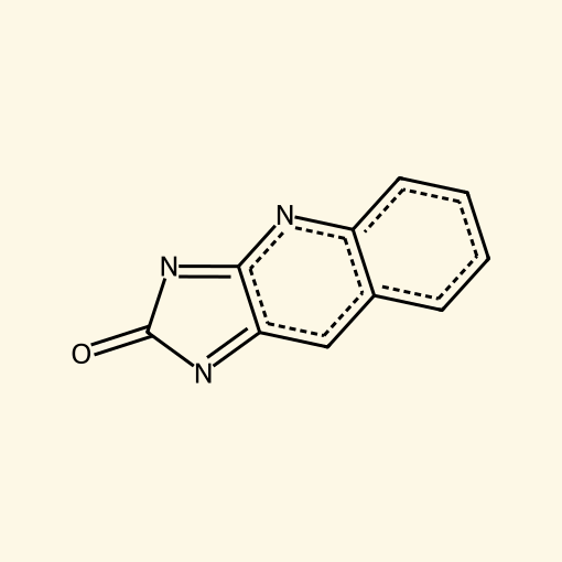 O=C1N=c2cc3ccccc3nc2=N1